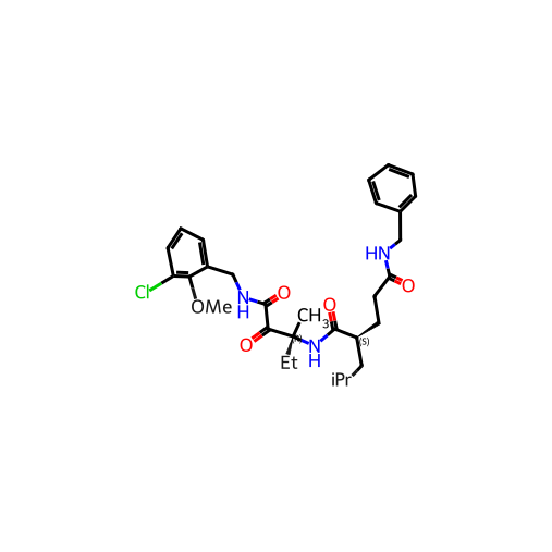 CC[C@@](C)(NC(=O)[C@@H](CCC(=O)NCc1ccccc1)CC(C)C)C(=O)C(=O)NCc1cccc(Cl)c1OC